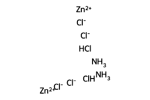 Cl.Cl.N.N.[Cl-].[Cl-].[Cl-].[Cl-].[Zn+2].[Zn+2]